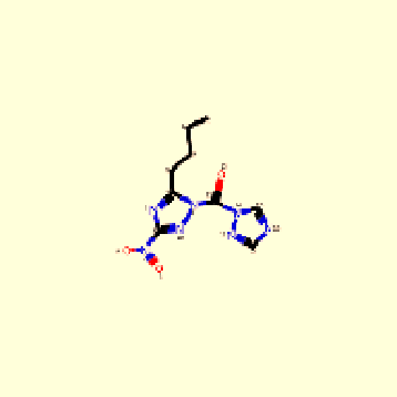 CCCCc1nc([N+](=O)[O-])nn1C(=O)n1cncn1